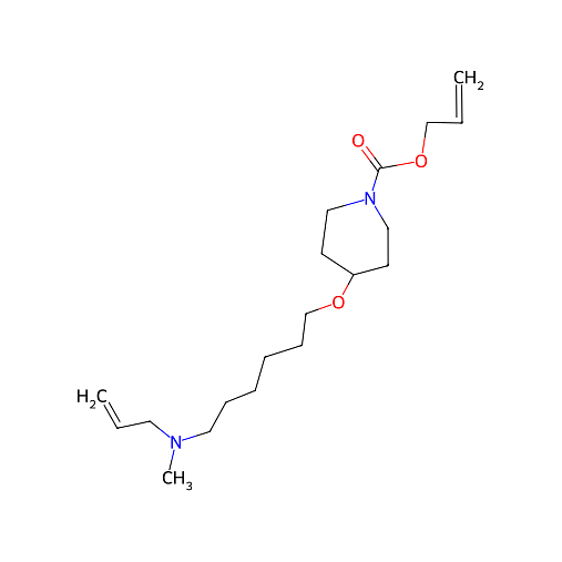 C=CCOC(=O)N1CCC(OCCCCCCN(C)CC=C)CC1